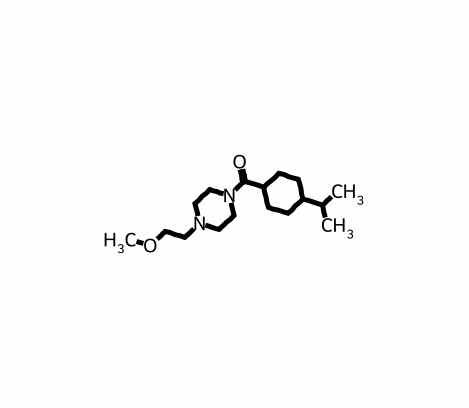 COCCN1CCN(C(=O)C2CCC(C(C)C)CC2)CC1